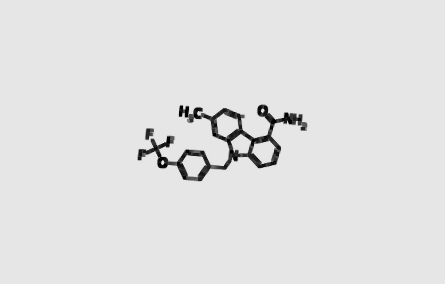 Cc1c[c]c2c3c(C(N)=O)cccc3n(Cc3ccc(OC(F)(F)F)cc3)c2c1